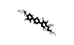 C=C/C=C(\C(F)=C(\F)CC(O)CCC)C1CC=C(c2ccc(OCC)c(F)c2F)CC1